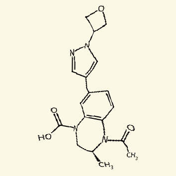 CC(=O)N1c2ccc(-c3cnn(C4COC4)c3)cc2N(C(=O)O)C[C@@H]1C